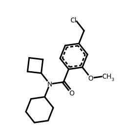 COc1cc(CCl)ccc1C(=O)N(C1CCCCC1)C1CCC1